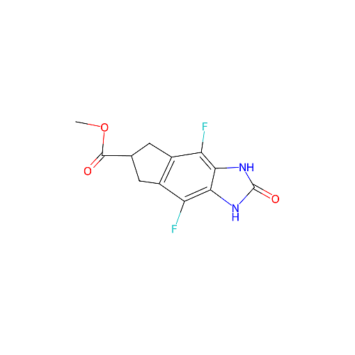 COC(=O)C1Cc2c(c(F)c3[nH]c(=O)[nH]c3c2F)C1